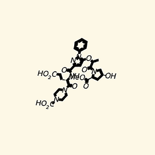 COC(=O)[C@@H]1C[C@@H](O)CN1C(=O)C(C)Oc1cc(C(=O)N[C@@H](CCC(=O)O)C(=O)N2CCN(C(=O)O)CC2)nn1-c1ccccc1